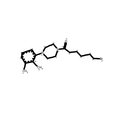 Cc1cccc(N2CCN(C(=O)CCCCCBr)CC2)c1C